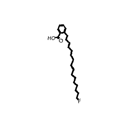 O=C(O)c1ccccc1CCCCCCCCCCCCCCCCF